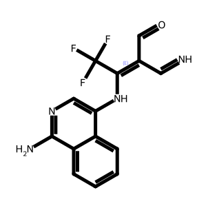 N=C/C(C=O)=C(\Nc1cnc(N)c2ccccc12)C(F)(F)F